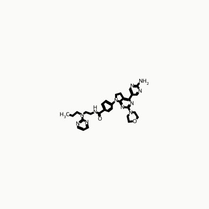 CCCN(CCNC(=O)c1ccc(N2CCc3c(-c4cnc(N)nc4)nc(N4CCOCC4)nc32)cc1)c1ncccn1